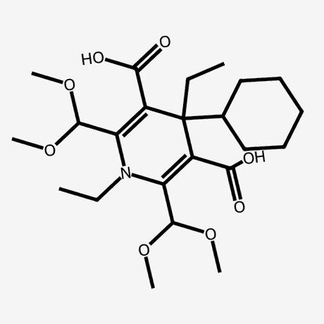 CCN1C(C(OC)OC)=C(C(=O)O)C(CC)(C2CCCCC2)C(C(=O)O)=C1C(OC)OC